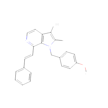 COc1ccc(Cn2c(C)c(C)c3ccnc(C=Cc4ccccc4)c32)cc1